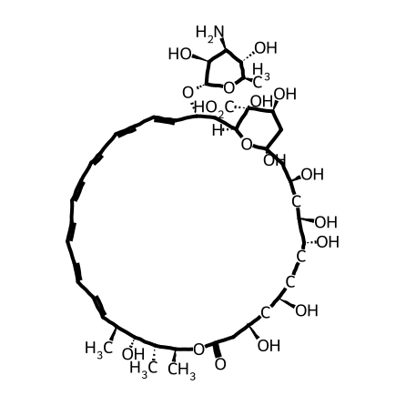 C[C@@H]1[C@H](O)[C@@H](C)/C=C/C=C/C=C/C=C/C=C/C=C/C=C/[C@H](O[C@H]2O[C@H](C)[C@@H](O)[C@H](N)[C@@H]2O)C[C@@H]2O[C@](O)(C[C@@H](O)C[C@@H](O)[C@H](O)CC[C@@H](O)C[C@@H](O)CC(=O)O[C@H]1C)C[C@H](O)[C@@]2(O)C(=O)O